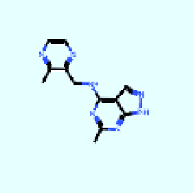 Cc1nc(NCc2nccnc2C)c2cn[nH]c2n1